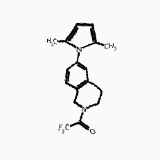 Cc1ccc(C)n1-c1ccc2c(c1)CCN(C(=O)C(F)(F)F)C2